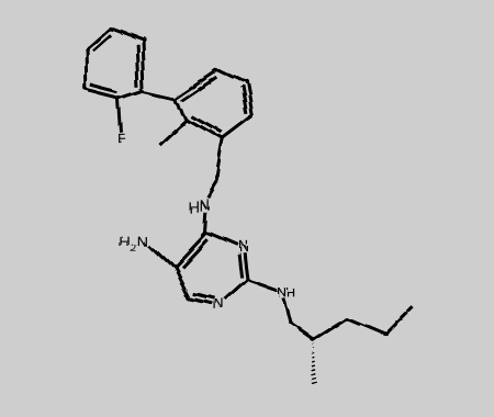 CCC[C@H](C)CNc1ncc(N)c(NCc2cccc(-c3ccccc3F)c2C)n1